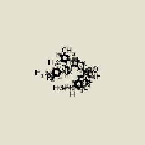 Cc1cc(-n2nc3c(c2-n2ccn(-c4ccc5c(cnn5C)c4)c2=O)CN(C(=O)c2cc4cc(NCCO)ccc4n2[C@@]2(c4noc(=O)[nH]4)C[C@@H]2C)CC3)cc(C)c1F